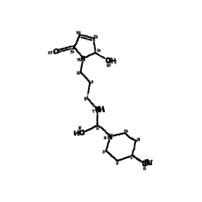 CC(C)(C)C1CCN(C(O)NCCCN2C(=O)C=CC2O)CC1